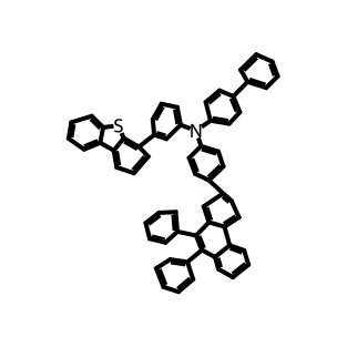 c1ccc(-c2ccc(N(c3ccc(-c4ccc5c(c4)c(-c4ccccc4)c(-c4ccccc4)c4ccccc45)cc3)c3cccc(-c4cccc5c4sc4ccccc45)c3)cc2)cc1